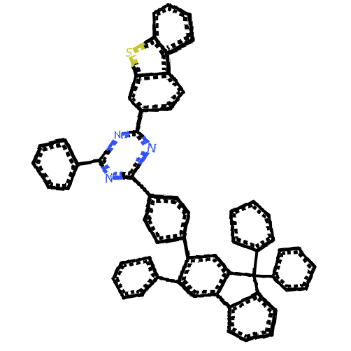 c1ccc(-c2nc(-c3ccc(-c4cc5c(cc4-c4ccccc4)-c4ccccc4C5(c4ccccc4)c4ccccc4)cc3)nc(-c3ccc4c(c3)sc3ccccc34)n2)cc1